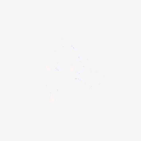 Cc1nc2c(F)ccc(NC(=O)c3cc(Cl)c(O)c(Cl)c3)c2c(=O)n1Cc1nn(C)c2ccccc12